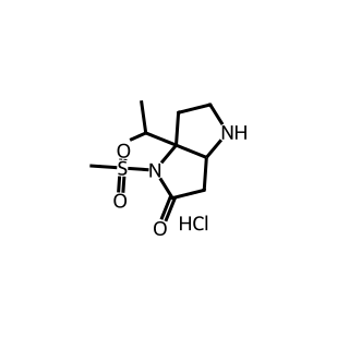 CC(C)C12CCNC1CC(=O)N2S(C)(=O)=O.Cl